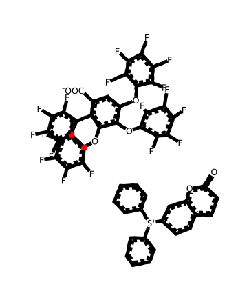 O=C([O-])c1cc(Oc2c(F)c(F)c(F)c(F)c2F)c(Oc2c(F)c(F)c(F)c(F)c2F)c(Oc2c(F)c(F)c(F)c(F)c2F)c1-c1c(F)c(F)c(F)c(F)c1F.O=c1ccc2ccc([S+](c3ccccc3)c3ccccc3)cc2o1